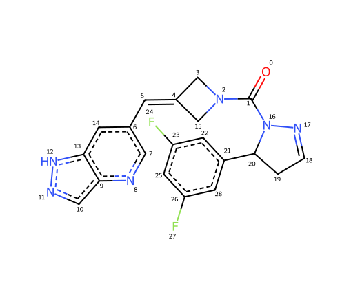 O=C(N1CC(=Cc2cnc3cn[nH]c3c2)C1)N1N=CCC1c1cc(F)cc(F)c1